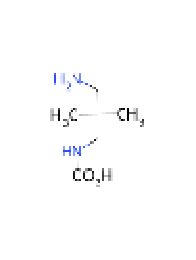 CC(C)(CN)CNC(=O)O